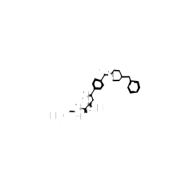 C=CCNC(=O)C1(C)CC(c2ccc(C(=O)N3CCC(Cc4ccccc4)CC3)cc2)=NO1